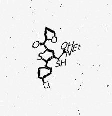 CCNC(=O)C(S)c1cc(C(=O)c2ccco2)sc1-c1ccc(Cl)cc1